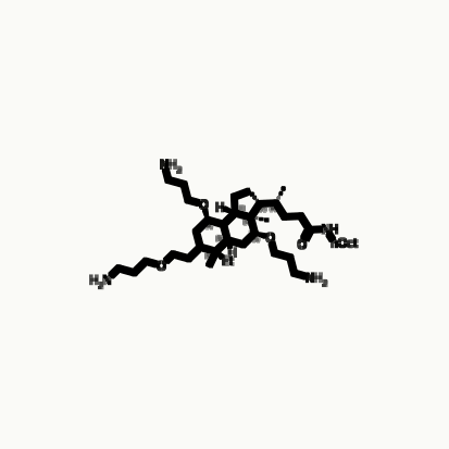 CCCCCCCCNC(=O)CC[C@@H](C)[C@H]1CC[C@H]2C3[C@H](OCCCN)CC(CCOCCCN)[C@](C)(CC)[C@H]3C[C@H](OCCCN)[C@]12C